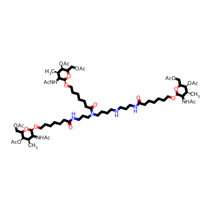 CC(=O)NC1[C@H](OCCCCCCC(=O)NCCCNCCCCN(CCCNC(=O)CCCCCCO[C@@H]2OC(COC(C)=O)[C@H](OC(C)=O)[C@H](C)C2NC(C)=O)C(=O)CCCCCCO[C@@H]2OC(COC(C)=O)[C@H](OC(C)=O)[C@H](C)C2NC(C)=O)OC(COC(C)=O)[C@H](OC(C)=O)[C@@H]1C